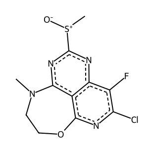 CN1CCOc2nc(Cl)c(F)c3nc([S+](C)[O-])nc1c23